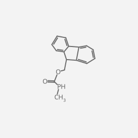 CPC(=O)OCC1c2ccccc2-c2ccccc21